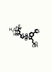 CN/C(=C\C(=N)c1ccc(S(=O)(=O)n2cc(CCC(=O)O)c3cc(-c4ccsc4)ccc32)s1)C(F)(F)F